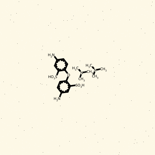 CN(C)C.CN(C)C.Nc1ccc(Oc2ccc(N)cc2S(=O)(=O)O)c(S(=O)(=O)O)c1